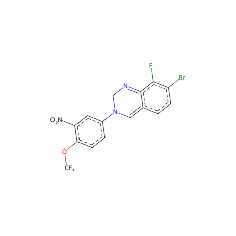 O=[N+]([O-])c1cc(N2C=c3ccc(Br)c(F)c3=NC2)ccc1OC(F)(F)F